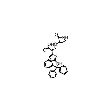 O=C(O)C(=NOC1CCNC1=O)c1csc(NC(c2ccccc2)(c2ccccc2)c2ccccc2)n1